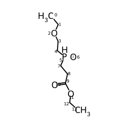 CCOCC[PH](=O)CCC(=O)OCC